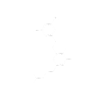 Cc1cc(N)nc(CCc2cc(CCCN(C)C)cc(F)c2F)c1